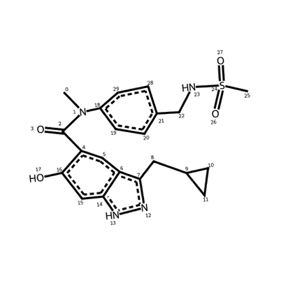 CN(C(=O)c1cc2c(CC3CC3)n[nH]c2cc1O)c1ccc(CNS(C)(=O)=O)cc1